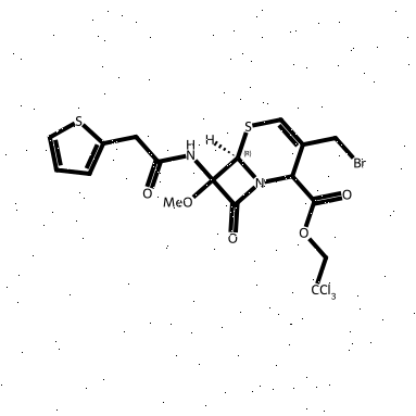 COC1(NC(=O)Cc2cccs2)C(=O)N2C(C(=O)OCC(Cl)(Cl)Cl)C(CBr)=CS[C@@H]21